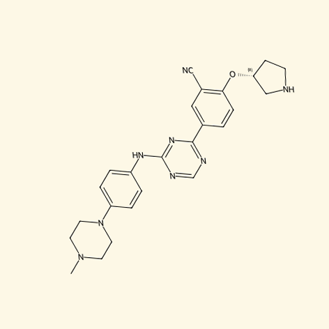 CN1CCN(c2ccc(Nc3ncnc(-c4ccc(O[C@@H]5CCNC5)c(C#N)c4)n3)cc2)CC1